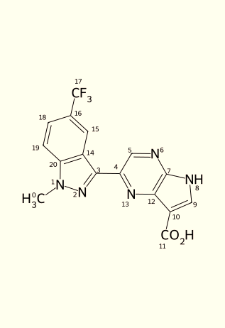 Cn1nc(-c2cnc3[nH]cc(C(=O)O)c3n2)c2cc(C(F)(F)F)ccc21